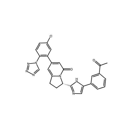 CC(=O)c1cccc(-c2cnc([C@@H]3CCc4cc(-c5cc(Cl)ccc5-n5cnnn5)cc(=O)n43)[nH]2)c1